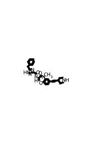 CN1C(=O)[C@@H](NC(=O)c2n[nH]c(Cc3ccccc3)n2)COc2ccc(C#CC3CCNCC3)cc21